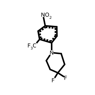 O=[N+]([O-])c1ccc(N2CCC(F)(F)CC2)c(C(F)(F)F)c1